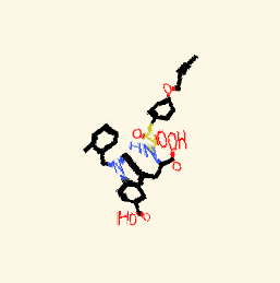 CC#CCOc1ccc(S(=O)(=O)NC(Cc2cn(Cc3ccccc3C)c3ccc(C(=O)O)cc23)C(=O)O)cc1